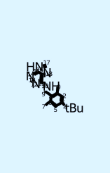 Cc1cc(C(C)(C)C)cc(C)c1CNc1ncnc2[nH]cnc12